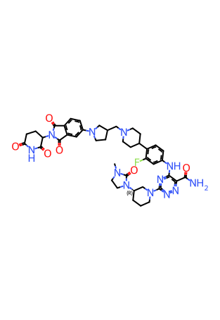 CN1CCN([C@@H]2CCCN(c3nnc(C(N)=O)c(Nc4ccc(C5CCN(CC6CCN(c7ccc8c(c7)C(=O)N(C7CCC(=O)NC7=O)C8=O)C6)CC5)c(F)c4)n3)C2)C1=O